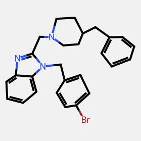 Brc1ccc(Cn2c(CN3CCC(Cc4ccccc4)CC3)nc3ccccc32)cc1